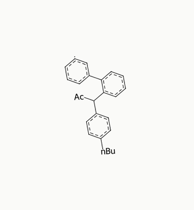 CCCCc1ccc(C(C(C)=O)c2ccccc2-c2c[c]ccc2)cc1